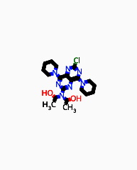 CC(O)N(c1nc(N2CCCCC2)c2nc(Cl)nc(N3CCCCC3)c2n1)C(C)O